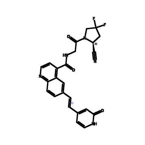 N#C[C@@H]1CC(F)(F)CN1C(=O)CNC(=O)c1ccnc2ccc(/C=C/c3cc[nH]c(=O)c3)cc12